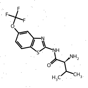 CC(C)[C@H](N)C(=O)Nc1nc2cc(OC(F)(F)F)ccc2s1